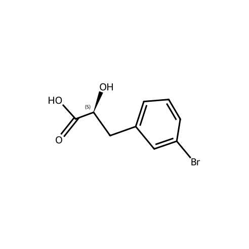 O=C(O)[C@@H](O)Cc1cccc(Br)c1